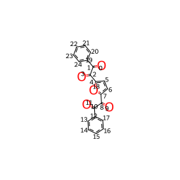 O=C(C(=O)c1ccc(C(=O)C(=O)c2ccccc2)o1)c1ccccc1